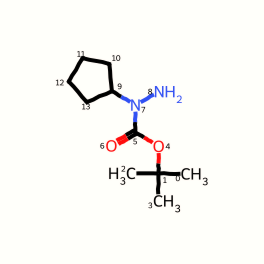 CC(C)(C)OC(=O)N(N)C1CCCC1